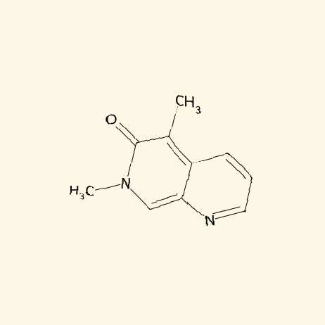 Cc1c(=O)n(C)cc2ncccc12